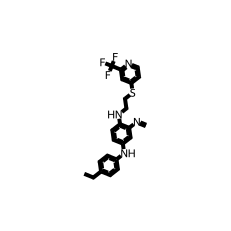 C=Nc1cc(Nc2ccc(CC)cc2)ccc1NCCSc1ccnc(C(F)(F)F)c1